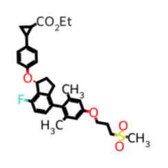 CCOC(=O)C1CC1c1ccc(O[C@@H]2CCc3c(-c4c(C)cc(OCCCS(C)(=O)=O)cc4C)ccc(F)c32)cc1